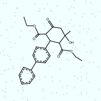 CCOC(=O)C1C(=O)CC(C)(O)C(C(=O)OCC)C1c1ccc(-c2ccccc2)cc1